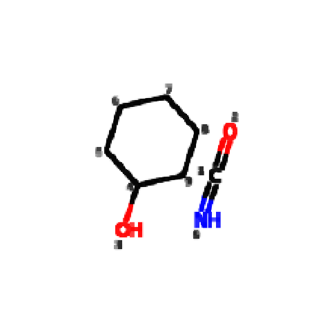 N=C=O.OC1CCCCC1